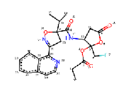 CCC(=O)OC1(CF)OC(=O)CC1NC(=O)C1(C(C)C)CC(c2nccc3ccccc23)=NO1